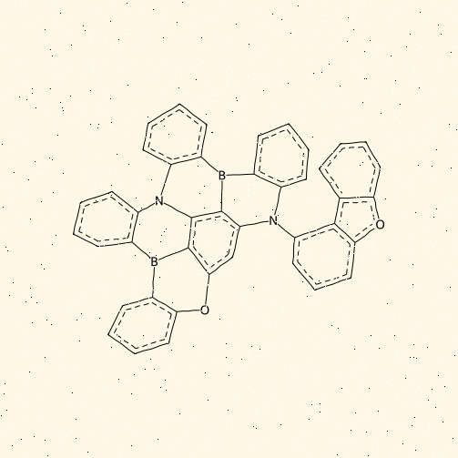 c1ccc2c(c1)Oc1cc3c4c5c1B2c1ccccc1N5c1ccccc1B4c1ccccc1N3c1cccc2oc3ccccc3c12